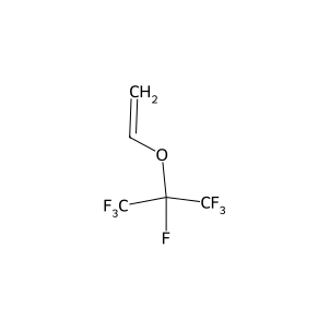 C=COC(F)(C(F)(F)F)C(F)(F)F